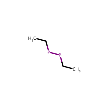 CC[P][P]CC